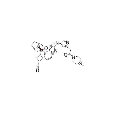 CN1CCN(C(=O)Cn2cc(Nc3nc4c(N5CC6CCC(C5)N6C(=O)C5CC(C#N)C5)cccn4n3)cn2)CC1